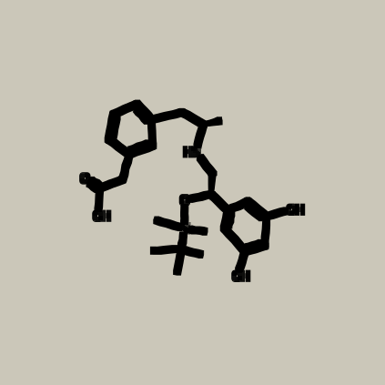 C[C@H](Cc1cccc(CC(=O)O)c1)NC[C@H](O[Si](C)(C)C(C)(C)C)c1cc(O)cc(O)c1